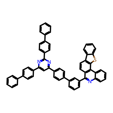 c1ccc(-c2ccc(-c3cc(-c4ccc(-c5cccc(-c6nc7ccccc7c7c6ccc6c8ccccc8sc67)c5)cc4)nc(-c4ccc(-c5ccccc5)cc4)n3)cc2)cc1